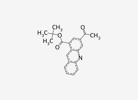 CC(=O)c1cc(C(=O)OC(C)(C)C)c2cc3ccccc3nc2c1